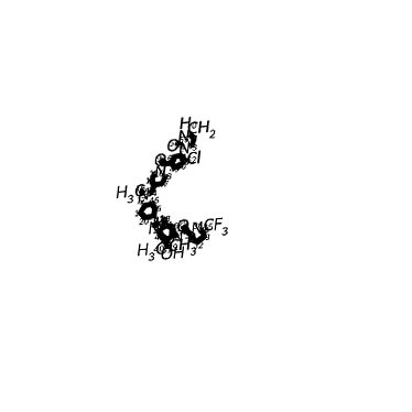 C=C1CCN(c2cc(C(=O)N3CCC(CN(C)C[C@H]4CC[C@H](n5cc6cc(NC(=O)c7cccc(C(F)(F)F)n7)c(C(C)(C)O)cc6n5)CC4)CC3)ccc2Cl)C(=O)N1